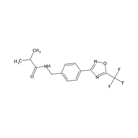 CC(C)C(=O)NCc1ccc(-c2noc(C(F)(F)F)n2)cc1